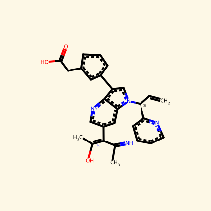 C=C[C@@H](c1ccccn1)n1cc(-c2cccc(CC(=O)O)c2)c2ncc(/C(C(C)=N)=C(\C)O)cc21